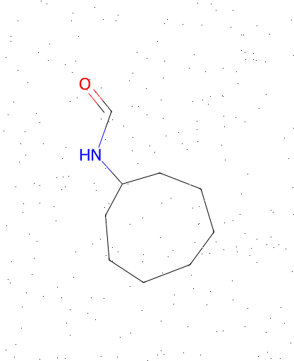 O=CNC1CCCCCCC1